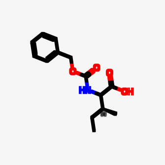 CC[C@H](C)C(NC(=O)OCc1ccccc1)C(=O)O